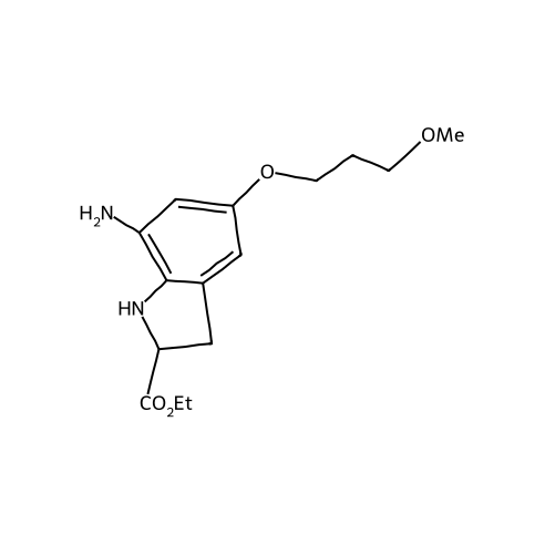 CCOC(=O)C1Cc2cc(OCCCOC)cc(N)c2N1